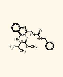 COC(=O)[C@@H](Nc1nc(CNC(=O)NCc2ccccc2)nc2ccccc12)C(C)C